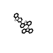 C1=CC2c3ccccc3OC2C=C1c1cccc2c1oc1cccc(-n3c4ccccc4c4ccccc43)c12